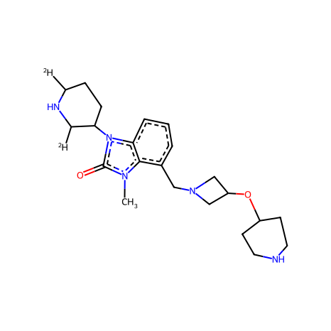 [2H]C1CCC(n2c(=O)n(C)c3c(CN4CC(OC5CCNCC5)C4)cccc32)C([2H])N1